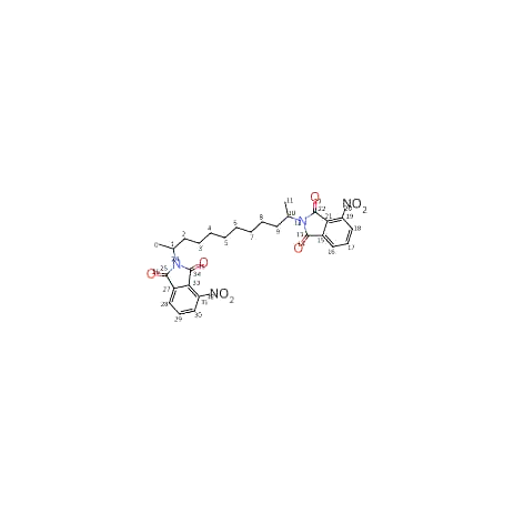 CC(CCCCCCCCC(C)N1C(=O)c2cccc([N+](=O)[O-])c2C1=O)N1C(=O)c2cccc([N+](=O)[O-])c2C1=O